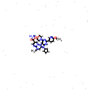 COc1ccc(-c2nc(N3CCOCC3)c3nc(CN(C)c4ncc(C(=O)ON)cn4)n(C4CCCC4)c3n2)cn1